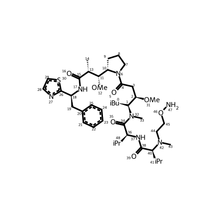 CC[C@H](C)[C@@H]([C@@H](CC(=O)N1CCC[C@H]1[C@H](OC)[C@@H](C)C(=O)N[C@@H](Cc1ccccc1)c1nccs1)OC)N(C)C(=O)[C@@H](NC(=O)[C@H](C(C)C)N(C)CCON)C(C)C